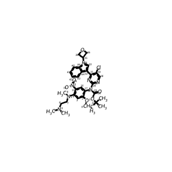 COc1cc(N(C)CCN(C)C)c([N+](=O)[O-])cc1N(C(=O)OC(C)(C)C)c1ncc(Cl)c(-c2cn(C3COC3)c3ccccc23)n1